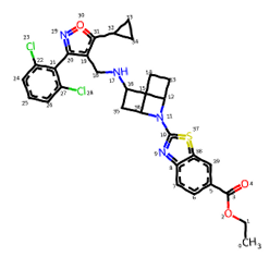 CCOC(=O)c1ccc2nc(N3C4CCC45C(NCc4c(-c6c(Cl)cccc6Cl)noc4C4CC4)CC35)sc2c1